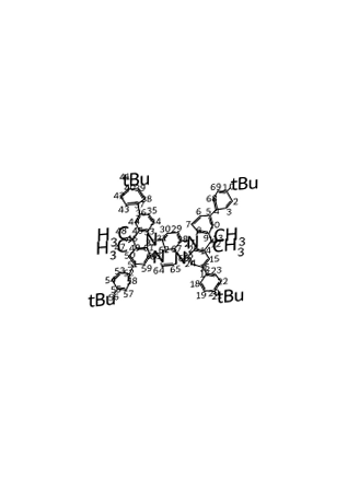 CC(C)(C)c1ccc(-c2ccc3c(c2)C(C)(C)c2cc(-c4ccc(C(C)(C)C)cc4)ccc2N3c2ccc(N3c4ccc(-c5ccc(C(C)(C)C)cc5)cc4C(C)(C)c4cc(-c5ccc(C(C)(C)C)cc5)ccc43)c3nccnc23)cc1